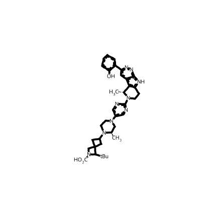 C[C@@H]1c2c([nH]c3nnc(-c4ccccc4O)cc23)CCN1c1ncc(N2CCN(C3CC4(C3)CN(C(=O)O)C4C(C)(C)C)[C@@H](C)C2)cn1